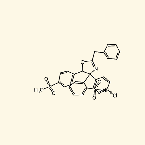 CS(=O)(=O)c1ccc(C2OC(Cc3ccccc3)=NC2(c2ccc(Cl)cc2)c2ccccc2S(N)(=O)=O)cc1